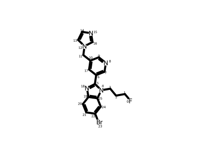 FCCCn1c(-c2cncc(Cn3ccnc3)c2)nc2ccc(Br)cc21